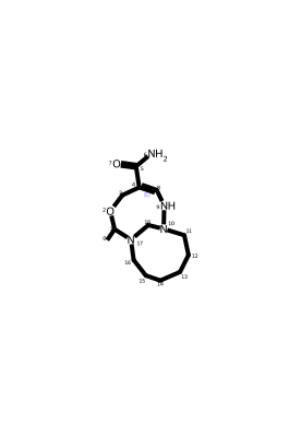 CC1OC/C(C(N)=O)=C\NN2CCCCCCN1C2